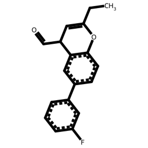 CCC1=CC(C=O)c2cc(-c3cccc(F)c3)ccc2O1